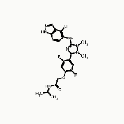 CC(C)NC(=O)COc1cc(F)c(C2N=C(Nc3ccc4[nH]ncc4c3Cl)N(C)N2C)cc1F